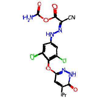 CC(C)c1cc(Oc2c(Cl)cc(NN=C(C#N)C(=O)OC(N)=O)cc2Cl)n[nH]c1=O